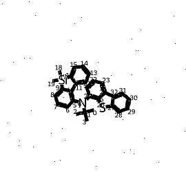 CC(C)(C)N(c1cccc2c1-c1ccccc1[Si]2(C)C)c1cccc2c1sc1ccccc12